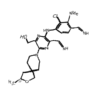 CNc1c(C=N)ccc(Nc2nc(CO)c(N3CCC4(CC3)CO[C@@H](C)C4)nc2C=N)c1Cl